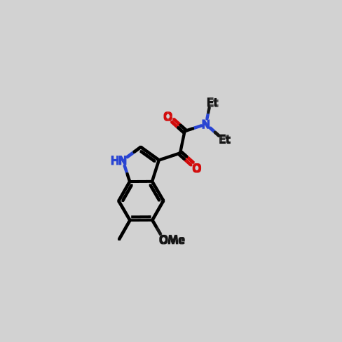 CCN(CC)C(=O)C(=O)c1c[nH]c2cc(C)c(OC)cc12